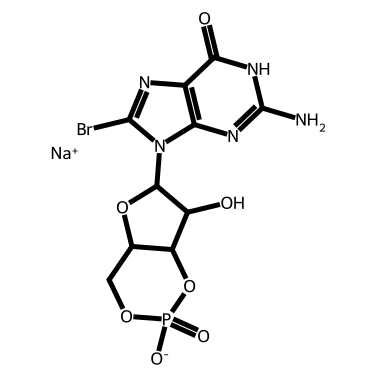 Nc1nc2c(nc(Br)n2C2OC3COP(=O)([O-])OC3C2O)c(=O)[nH]1.[Na+]